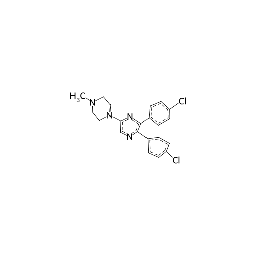 CN1CCN(c2cnc(-c3ccc(Cl)cc3)c(-c3ccc(Cl)cc3)n2)CC1